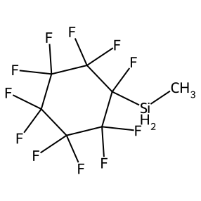 C[SiH2]C1(F)C(F)(F)C(F)(F)C(F)(F)C(F)(F)C1(F)F